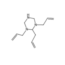 C=CCC1N(CC=C)CNCN1CC=C